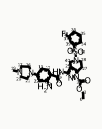 CCOC(=O)n1nc(NC(=O)c2ccc(N3CCN(C)CC3)cc2N)c2c1CCN(S(=O)(=O)c1cccc(F)c1)C2